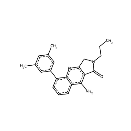 CCCN1Cc2nc3c(-c4cc(C)cc(C)c4)cccc3c(N)c2C1=O